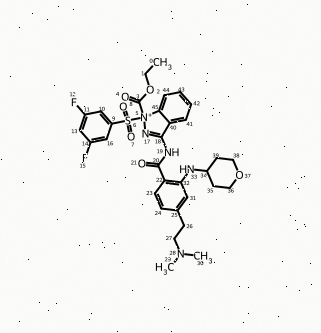 CCOC(=O)[N+]1(S(=O)(=O)c2cc(F)cc(F)c2)N=C(NC(=O)c2ccc(CCN(C)C)cc2NC2CCOCC2)c2ccccc21